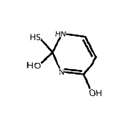 OC1=NC(O)(S)NC=C1